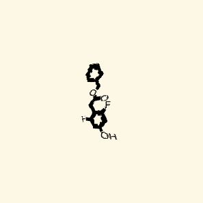 O=C(Cc1c(F)cc(O)cc1F)OCc1ccccc1